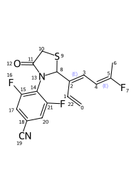 C=C/C(=C\C=C(/C)F)C1SCC(=O)N1c1c(F)cc(C#N)cc1F